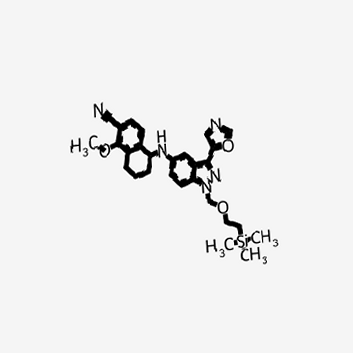 COc1c(C#N)ccc2c1CCCC2Nc1ccc2c(c1)c(-c1cnco1)nn2COCC[Si](C)(C)C